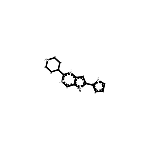 c1coc(-c2cc3nc(C4CCNCC4)ncc3[nH]2)c1